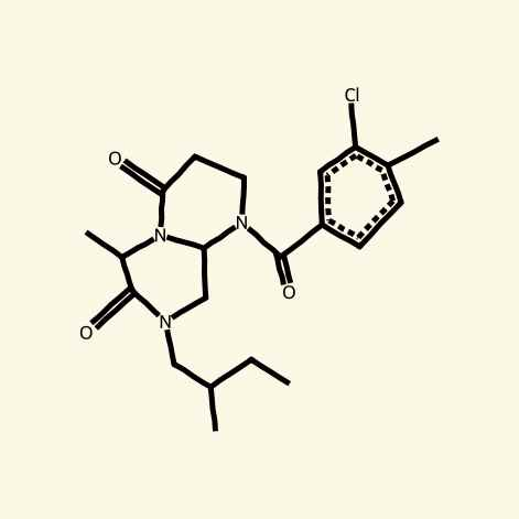 CCC(C)CN1CC2N(C(=O)c3ccc(C)c(Cl)c3)CCC(=O)N2C(C)C1=O